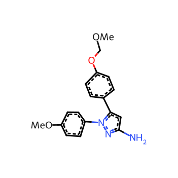 COCOc1ccc(-c2cc(N)nn2-c2ccc(OC)cc2)cc1